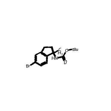 CC(C)(C)OC(=O)NC1(C)CCc2cc(Br)ccc21